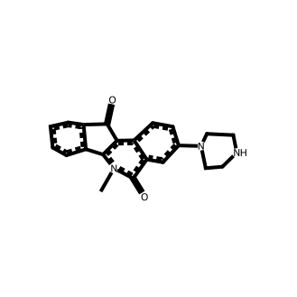 Cn1c2c(c3ccc(N4CCNCC4)cc3c1=O)C(=O)c1ccccc1-2